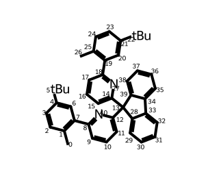 Cc1ccc(C(C)(C)C)cc1-c1cccc(C2(c3cccc(-c4cc(C(C)(C)C)ccc4C)n3)c3ccccc3-c3ccccc32)n1